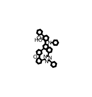 Cc1ccccc1-c1ccc2c(c1O)c1cc(-c3ccc4oc5cccc(-c6nc(-c7ccccc7)nc(-c7ccccc7)n6)c5c4c3)ccc1n2-c1ccccc1